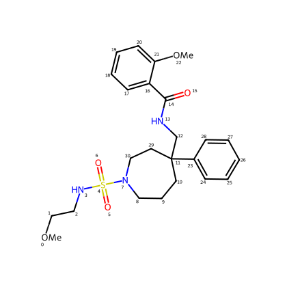 COCCNS(=O)(=O)N1CCCC(CNC(=O)c2ccccc2OC)(c2ccccc2)CC1